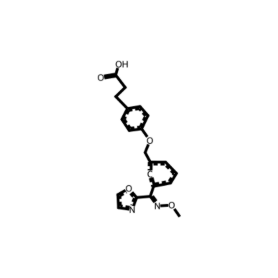 CO/N=C(\c1cccc(COc2ccc(CCC(=O)O)cc2)c1)c1ncco1